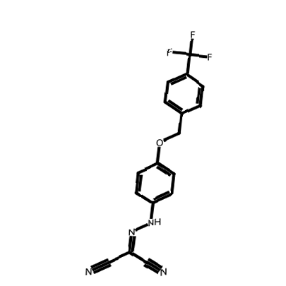 N#CC(C#N)=NNc1ccc(OCc2ccc(C(F)(F)F)cc2)cc1